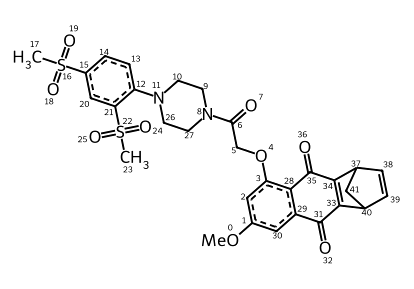 COc1cc(OCC(=O)N2CCN(c3ccc(S(C)(=O)=O)cc3S(C)(=O)=O)CC2)c2c(c1)C(=O)C1=C(C2=O)C2C=CC1C2